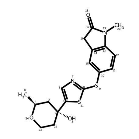 C[C@H]1C[C@@](O)(c2cnc(Sc3ccc4c(c3)CC(=O)N4C)s2)CCO1